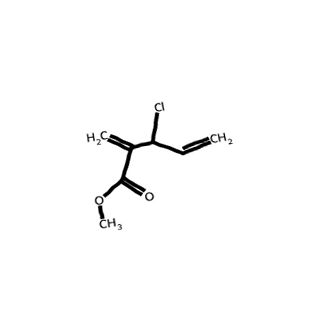 C=CC(Cl)C(=C)C(=O)OC